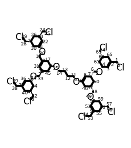 ClCC1=C[C@H](OC[C@H]2C=C(OCCCCO[C@@H]3CC(COC4=C[C@H](CCl)C[C@H](CCl)C4)=C[C@H](CO[C@@H]4C=C(CCl)C[C@H](CCl)C4)C3)C[C@@H](CO[C@@H]3C=C(CCl)C[C@H](CCl)C3)C2)C[C@H](CCl)C1